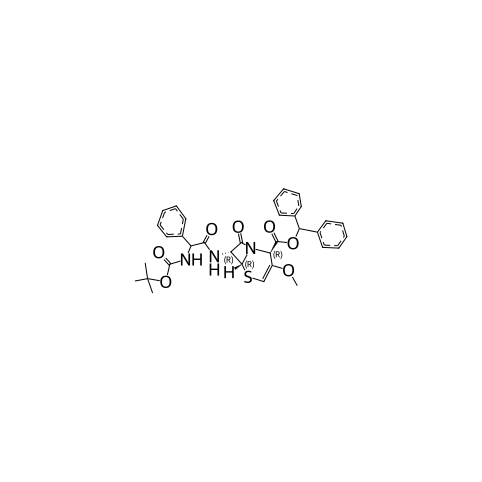 COC1=CS[C@@H]2[C@H](NC(=O)C(NC(=O)OC(C)(C)C)c3ccccc3)C(=O)N2[C@H]1C(=O)OC(c1ccccc1)c1ccccc1